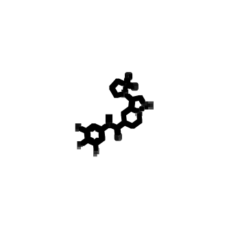 O=C(Nc1cc(F)c(F)c(F)c1)C1CCN2NCC(N3CCCS3(=O)=O)=C2C1